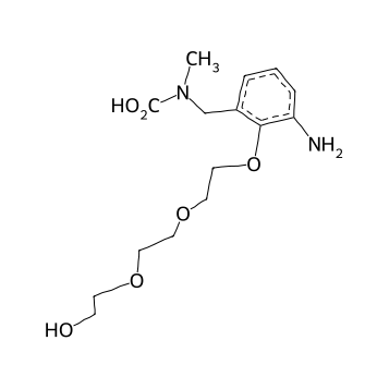 CN(Cc1cccc(N)c1OCCOCCOCCO)C(=O)O